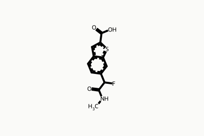 CNC(=O)C(F)c1ccc2cc(C(=O)O)sc2c1